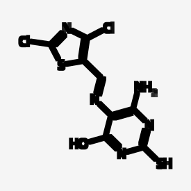 Nc1nc(S)nc(O)c1N=Cc1sc(Cl)nc1Cl